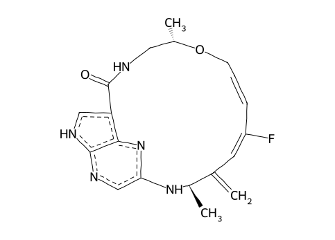 C=C1/C=C(F)\C=C/CO[C@@H](C)CNC(=O)c2c[nH]c3ncc(nc23)N[C@@H]1C